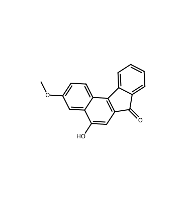 COc1ccc2c3c(cc(O)c2c1)C(=O)c1ccccc1-3